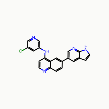 Clc1cncc(Nc2ccnc3ccc(-c4cnc5[nH]ccc5c4)cc23)c1